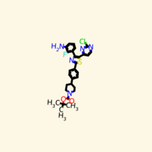 CC(C)(C)OC(=O)N1CCC(c2ccc(-c3nc(-c4cccc(N)c4F)c(-c4ccnc(Cl)n4)s3)cc2)CC1